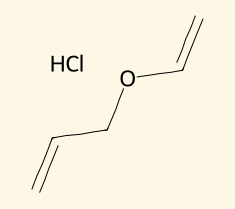 C=CCOC=C.Cl